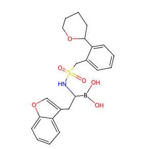 O=S(=O)(Cc1ccccc1C1CCCCO1)NC(Cc1coc2ccccc12)B(O)O